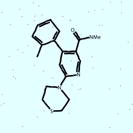 CNC(=O)c1cnc(N2CCSCC2)cc1-c1ccccc1C